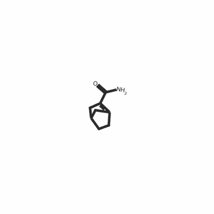 NC(=O)C1=C2CCC(C2)C1